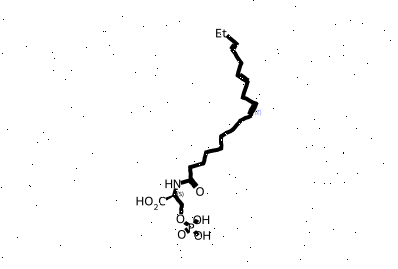 CCC=CCC=CC/C=C\CCCCCCCC(=O)N[C@@H](COP(=O)(O)O)C(=O)O